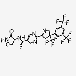 O=C1NOCC1NC(=S)c1cnc(C2=NCC(c3cc(C(F)(F)F)cc(C(F)(F)F)c3)(C(F)(F)F)C2)nc1